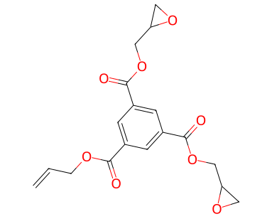 C=CCOC(=O)c1cc(C(=O)OCC2CO2)cc(C(=O)OCC2CO2)c1